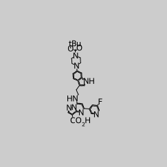 CC(C)(C)OC(=O)N1CCN(c2ccc3c(CCNc4cc(-c5cncc(F)c5)nc5c(C(=O)O)cnn45)c[nH]c3c2)CC1